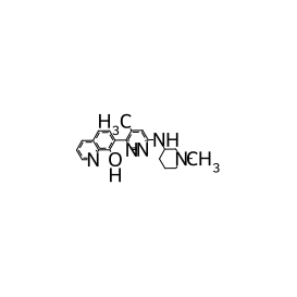 Cc1cc(NC2CCCN(C)C2)nnc1-c1ccc2cccnc2c1O